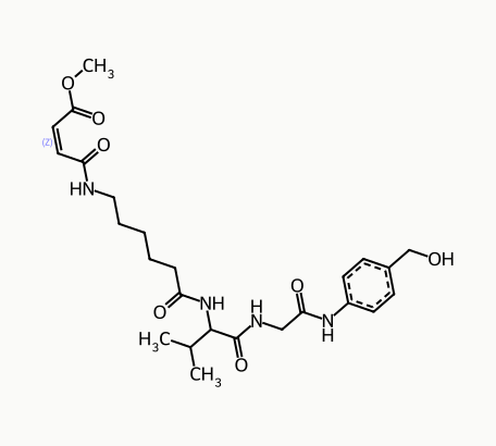 COC(=O)/C=C\C(=O)NCCCCCC(=O)NC(C(=O)NCC(=O)Nc1ccc(CO)cc1)C(C)C